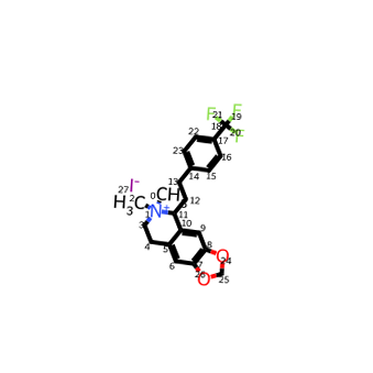 C[N+]1(C)CCc2cc3c(cc2C1CCc1ccc(C(F)(F)F)cc1)OCO3.[I-]